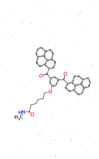 CNC(=O)CCCCCOc1cc(C(=O)c2ccc3ccc4cccc5ccc2c3c45)cc(C(=O)c2ccc3ccc4cccc5ccc2c3c45)c1